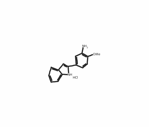 COc1ccc(-c2cc3ccccc3[nH]2)cc1N.Cl